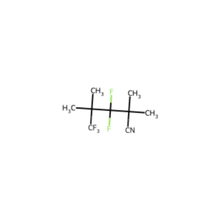 CC(C)(C#N)C(F)(F)C(C)(C)C(F)(F)F